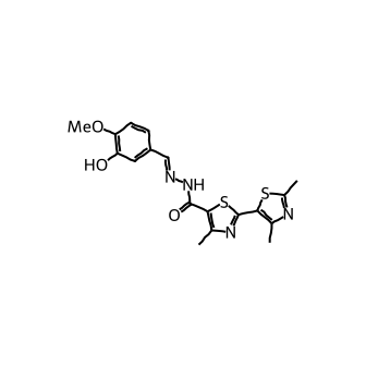 COc1ccc(/C=N/NC(=O)c2sc(-c3sc(C)nc3C)nc2C)cc1O